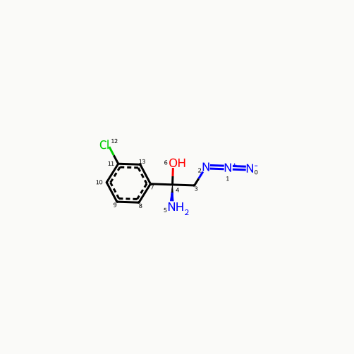 [N-]=[N+]=NC[C@@](N)(O)c1cccc(Cl)c1